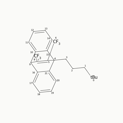 CC(C)(C)CCCC12C(C(F)(F)F)=C(C(F)(F)F)C(c3ccccc31)c1ccccc12